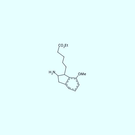 CCOC(=O)CCCCC1c2c(cccc2OC)CC1N